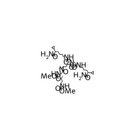 COC(=O)NCCCC[C@H](NC(=O)OC)C(=O)N(C)CCCC(=O)N(CC(=O)NCCCCC(C(N)=O)C1CC1)CC(=O)NCCCCC(C(N)=O)C1CC1